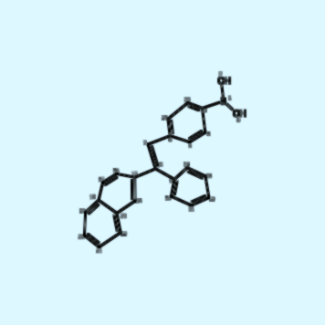 OB(O)c1ccc(/C=C(\c2ccccc2)c2ccc3ccccc3c2)cc1